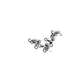 O=[Si]([O-])[O-].O=[Si]([O-])[O-].O=[Si]([O-])[O-].[Al+3].[Al+3].[B].[B].[CaH2].[CaH2]